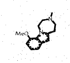 COc1cccc2cc3n(c12)CCN(C)CC3